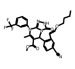 CCCCOC=Cc1cc(C#N)ccc1C1C(C(=O)OC)=C(C)N(c2cccc(C(F)(F)F)c2)c2n[nH]c(=O)n21